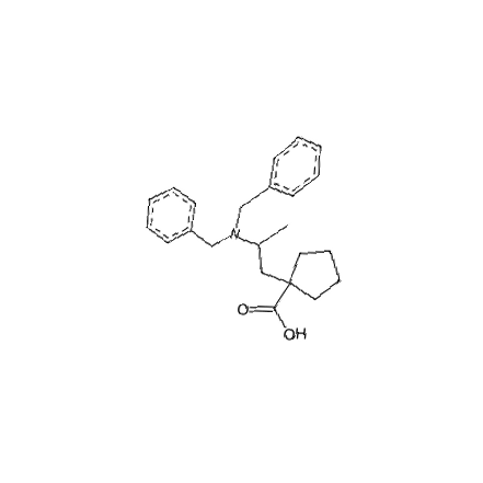 CC(CC1(C(=O)O)CCCC1)N(Cc1ccccc1)Cc1ccccc1